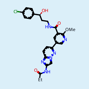 CCC(=O)Nc1cn2nc(-c3cnc(OC)c(C(=O)NCC[C@H](O)c4ccc(Cl)cc4)c3)ccc2n1